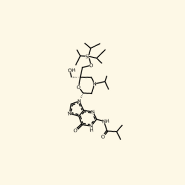 CC(C)C(=O)Nc1nc2c(ncn2[C@H]2CN(C(C)C)C[C@](CO)(CO[Si](C(C)C)(C(C)C)C(C)C)O2)c(=O)[nH]1